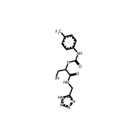 CC(C)CC(OC(=O)Nc1ccc(C(F)(F)F)cc1)C(=O)NCc1nnn[nH]1